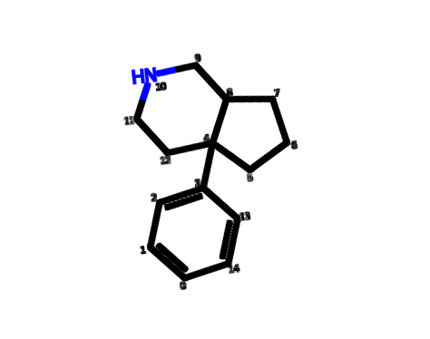 c1ccc(C23CCCC2CNCC3)cc1